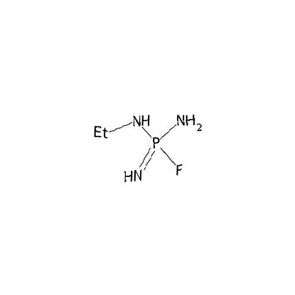 CCNP(=N)(N)F